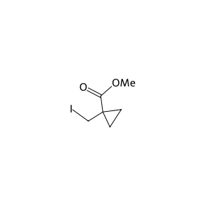 COC(=O)C1(CI)CC1